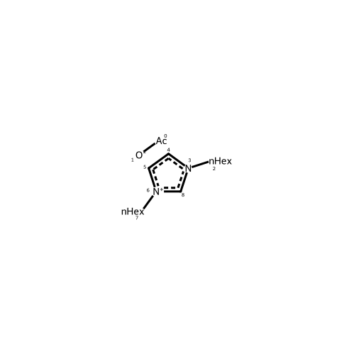 CC(=O)[O-].CCCCCCn1cc[n+](CCCCCC)c1